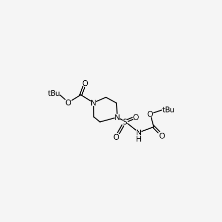 CC(C)(C)OC(=O)NS(=O)(=O)N1CCN(C(=O)OC(C)(C)C)CC1